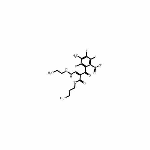 CCCCOC(=O)C(=CNNCCC)C(=O)c1c(F)c(C)c(F)c(F)c1[N+](=O)[O-]